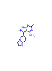 Cc1nc(N)c2c(-c3ccc4nccn4c3)n(C)nc2n1